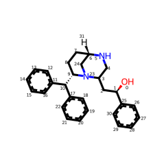 O[C@H](CC1CN[C@H]2CC[C@@H](C(c3ccccc3)c3ccccc3)N1C2)c1ccccc1